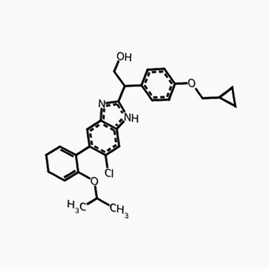 CC(C)OC1=CCCC=C1c1cc2nc(C(CO)c3ccc(OCC4CC4)cc3)[nH]c2cc1Cl